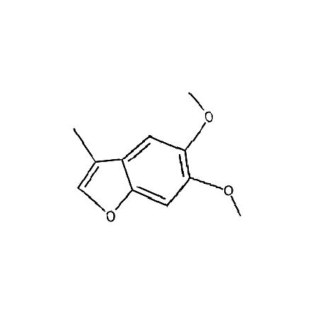 COc1cc2occ(C)c2cc1OC